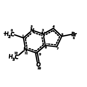 [CH2]c1nn2cc(Br)cc2c(=O)n1C